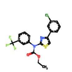 CCOC(=O)N(c1cccc(C(F)(F)F)c1)c1nc(-c2cccc(Cl)c2)cs1